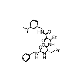 CCC(NC(=O)[C@H](CC(C)C)NC(=O)NCc1ccccc1)C(=O)C(=O)NCc1cccc(N(C)C)c1